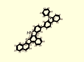 C1=Cc2c(c3ccc(-c4ccc5[nH]c6c7sc8c9ccccc9ccc8c7c7ccccc7c6c5c4)cc3n2-c2ccccc2)CC1